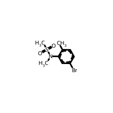 Cc1ccc(Br)cc1N(C)S(C)(=O)=O